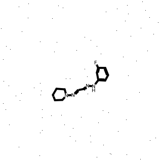 Fc1cccc(NN=CC=NN2CCCCC2)c1